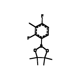 Cc1c(F)ccc(B2OC(C)(C)C(C)(C)O2)c1F